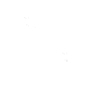 NNC(=O)CCCCC(=O)NN.[KH]